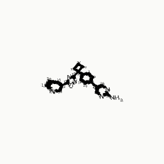 Nc1ncc(-c2ccc(C3(c4noc(-c5cccnc5)n4)CCC3)cc2)cn1